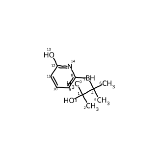 CC(C)(O)C(C)(C)Bc1cccc(O)n1